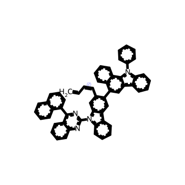 C=C/C=C\c1cc2c(cc1-c1cc3c4ccccc4n(-c4ccccc4)c3c3ccccc13)c1ccccc1n2-c1nc(-c2cccc3ccccc23)c2ccccc2n1